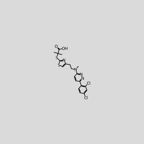 CN(CCc1csc(SC(C)(C)C(=O)O)n1)c1ccc(-c2ccc(Cl)cc2Cl)nn1